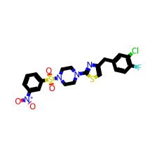 O=[N+]([O-])c1cccc(S(=O)(=O)N2CCN(c3nc(Cc4ccc(F)c(Cl)c4)cs3)CC2)c1